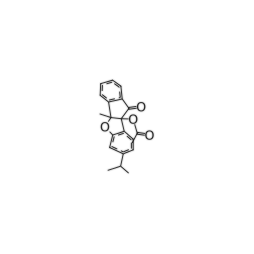 CC(=O)OC12C(=O)c3ccccc3C1(C)Oc1cc(C(C)C)ccc12